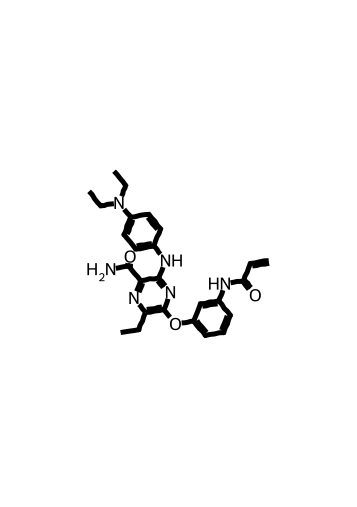 C=CC(=O)Nc1cccc(Oc2nc(Nc3ccc(N(CC)CC)cc3)c(C(N)=O)nc2CC)c1